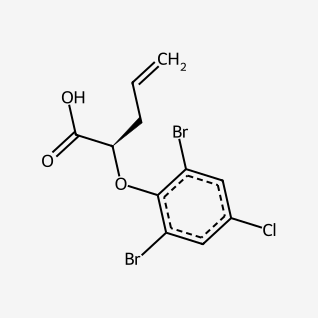 C=CC[C@@H](Oc1c(Br)cc(Cl)cc1Br)C(=O)O